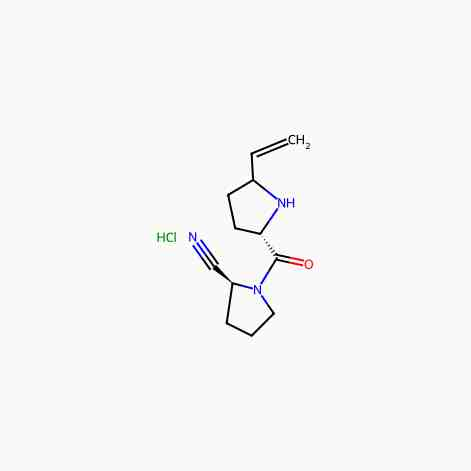 C=CC1CC[C@@H](C(=O)N2CCC[C@H]2C#N)N1.Cl